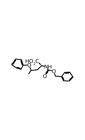 CC(C[C@H](NC(=O)OCc1ccccc1)C(=O)O)Oc1ccccc1